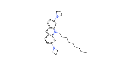 CCCCCCCCC[n+]1c2cc(N3CCC3)ccc2cc2ccc(N3CCC3)cc21